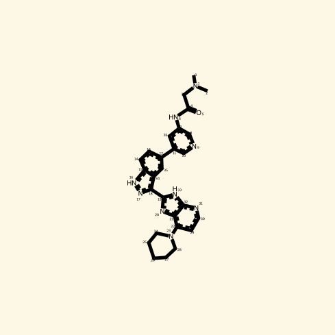 CN(C)CC(=O)Nc1cncc(-c2ccc3[nH]nc(-c4nc5c(N6CCCCC6)ccnc5[nH]4)c3c2)c1